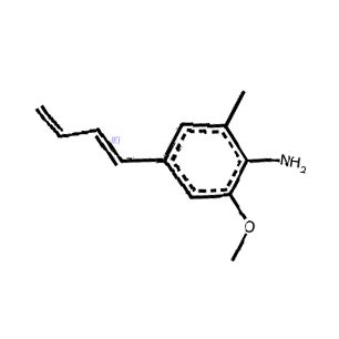 C=C/C=C/c1cc(C)c(N)c(OC)c1